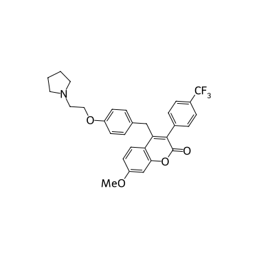 COc1ccc2c(Cc3ccc(OCCN4CCCC4)cc3)c(-c3ccc(C(F)(F)F)cc3)c(=O)oc2c1